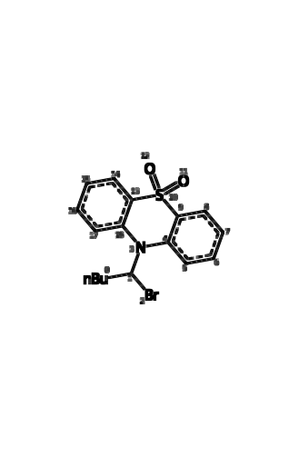 CCCCC(Br)N1c2ccccc2S(=O)(=O)c2ccccc21